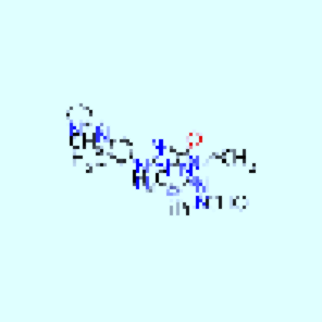 C=CCn1c(=O)c2cnc(Nc3ccc(N4CC5(CCCCN5C)C4)c(C)c3)nc2n1C(/C=C\C)=N/N(C=O)C(C)C